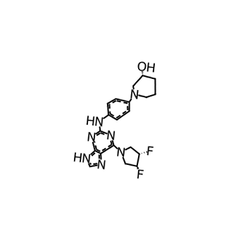 O[C@@H]1CCCN(c2ccc(Nc3nc(N4C[C@H](F)[C@@H](F)C4)c4nc[nH]c4n3)cc2)C1